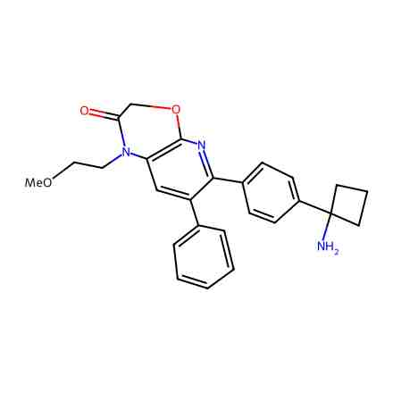 COCCN1C(=O)COc2nc(-c3ccc(C4(N)CCC4)cc3)c(-c3ccccc3)cc21